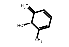 C=C1C=CC=C(C)[C@H]1O